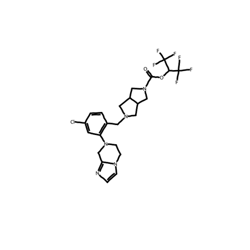 O=C(OC(C(F)(F)F)C(F)(F)F)N1CC2CN(Cc3ccc(Cl)cc3N3CCn4ccnc4C3)CC2C1